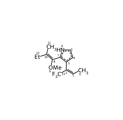 C/C=C(\c1cc[nH]c1/C(OC)=C(\C)CC)C(F)(F)F